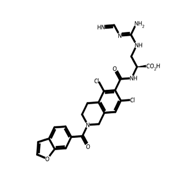 N=CN=C(N)NC[C@H](NC(=O)c1c(Cl)cc2c(c1Cl)CCN(C(=O)c1ccc3ccoc3c1)C2)C(=O)O